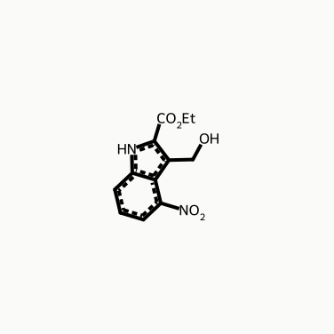 CCOC(=O)c1[nH]c2cccc([N+](=O)[O-])c2c1CO